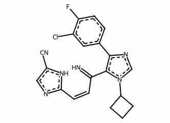 N#Cc1cnc(/C=C\C(=N)c2c(-c3ccc(F)c(Cl)c3)ncn2C2CCC2)[nH]1